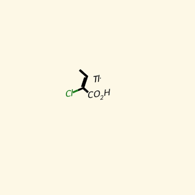 CC=C(Cl)C(=O)O.[Tl]